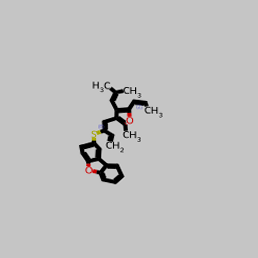 C=C/C(=C\c1c(C)oc(/C=C\C)c1C=C(C)C)Sc1ccc2oc3ccccc3c2c1